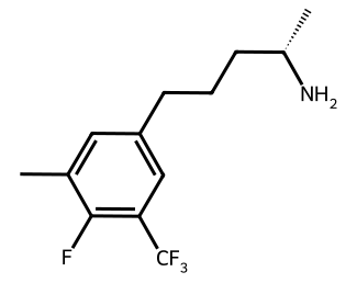 Cc1cc(CCC[C@H](C)N)cc(C(F)(F)F)c1F